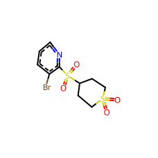 O=S1(=O)CCC(S(=O)(=O)c2ncccc2Br)CC1